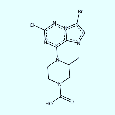 CC1CN(C(=O)O)CCN1c1nc(Cl)nn2c(Br)cnc12